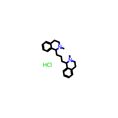 CN1CCc2ccccc2C1CCCC1c2ccccc2CCN1C.Cl